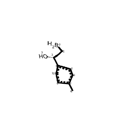 BC[C@@H](O)c1ccc(C)cc1